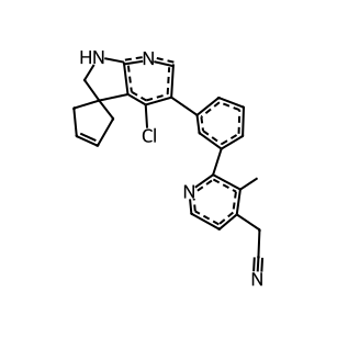 Cc1c(CC#N)ccnc1-c1cccc(-c2cnc3c(c2Cl)C2(CC=CC2)CN3)c1